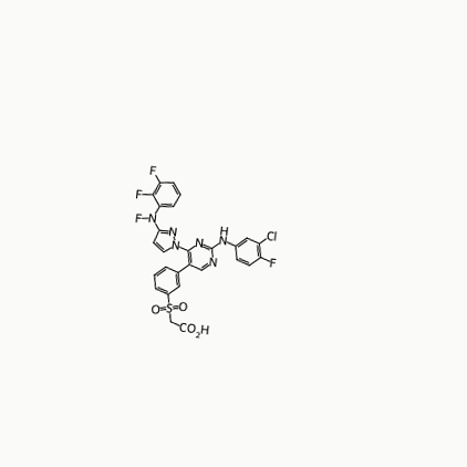 O=C(O)CS(=O)(=O)c1cccc(-c2cnc(Nc3ccc(F)c(Cl)c3)nc2-n2ccc(N(F)c3cccc(F)c3F)n2)c1